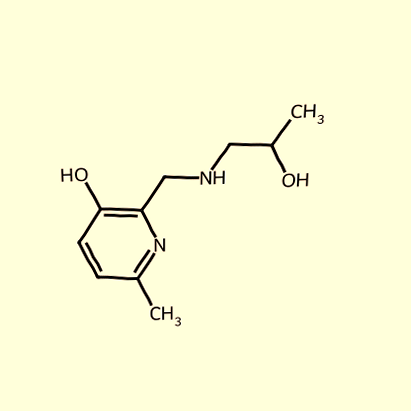 Cc1ccc(O)c(CNCC(C)O)n1